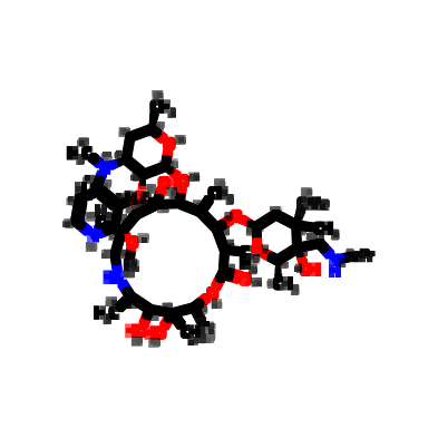 CCCNC[C@]1(O)[C@H](C)O[C@@H](OC2C(C)C(=O)OC(CC)C(C)(O)C(O)C(C)NCC(C)CC(C)(O)C(O[C@@H]3O[C@H](C)C[C@H](N(C)C)[C@H]3Oc3cccnc3OCC)C2C)C[C@@]1(C)OC